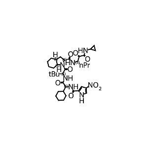 CCC[C@H](NC(=O)[C@@H]1C[C@@H]2CCCC[C@@H]2N1C(=O)[C@@H](NC(=O)[C@@H](NC(=O)c1cc([N+](=O)[O-])c[nH]1)C1CCCCC1)C(C)(C)C)C(=O)C(=O)NC1CC1